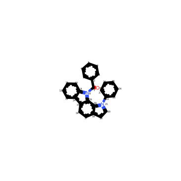 O=C(c1ccccc1)n1c2ccccc2c2ccc3ccn(-c4ccccc4)c3c21